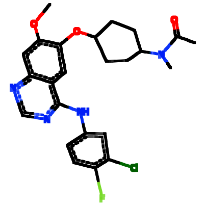 COc1cc2ncnc(Nc3ccc(F)c(Cl)c3)c2cc1OC1CCC(N(C)C(C)=O)CC1